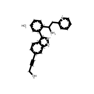 Cl.NC(Cc1ccccn1)c1ccccc1-c1noc2cc(C#CCO)ccc12